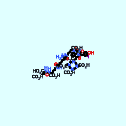 CN(C(=O)/C(Cc1ccc(O)c(I)c1)=N/C(=O)CCC(C(=O)O)N1CCN(CC(=O)O)CCN(CC(=O)O)CCN(CC(=O)O)CC1)[C@H](Cc1ccccc1)C(=O)/N=C(/CCCCNC(=O)[C@@H](N)CCCCCC(=O)NCCCC[C@H](NC(=O)N[C@@H](CCC(=O)O)C(=O)O)C(=O)O)C(=O)O